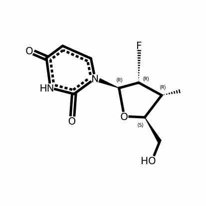 C[C@H]1[C@@H](F)[C@H](n2ccc(=O)[nH]c2=O)O[C@@H]1CO